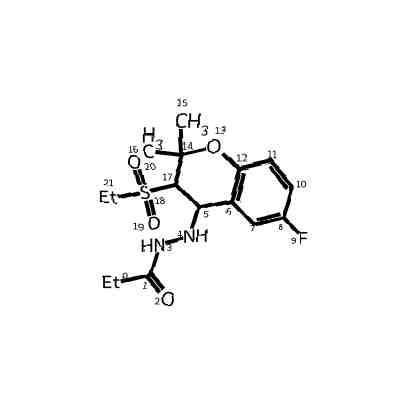 CCC(=O)NNC1c2cc(F)ccc2OC(C)(C)C1S(=O)(=O)CC